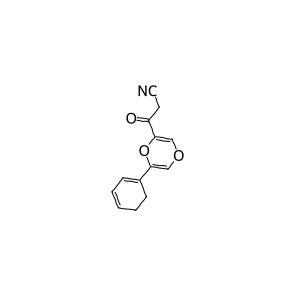 N#CCC(=O)C1=COC=C(C2=CC=CCC2)O1